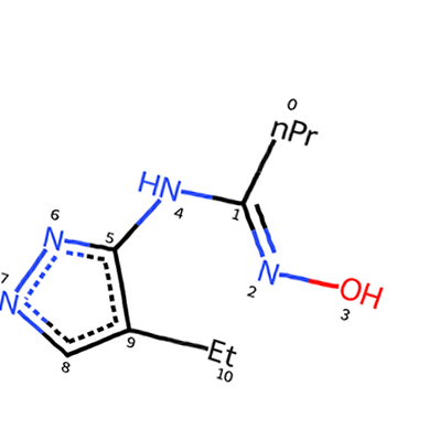 CCCC(=NO)Nc1n[nH]cc1CC